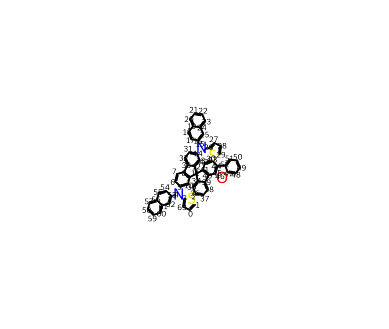 c1csc(N(c2ccc3c(c2)C2(c4cc(N(c5ccc6ccccc6c5)c5cccs5)ccc4-3)c3ccccc3-c3c2ccc2c3oc3ccccc32)c2ccc3ccccc3c2)c1